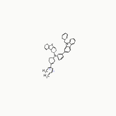 C=C/C=C\C(=C/C)C1=CC=C(N(c2cccc(-c3ccc4c5ccccc5n(CC5C=CC=CC5)c4c3)c2)C2CC=C3SC4=C(C=CCC4)C3C2)CC=C1